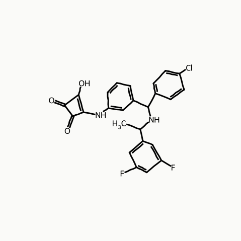 CC(NC(c1ccc(Cl)cc1)c1cccc(Nc2c(O)c(=O)c2=O)c1)c1cc(F)cc(F)c1